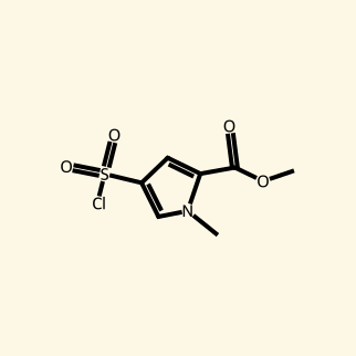 COC(=O)c1cc(S(=O)(=O)Cl)cn1C